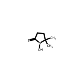 CC1(C)CCC(=S)N1O